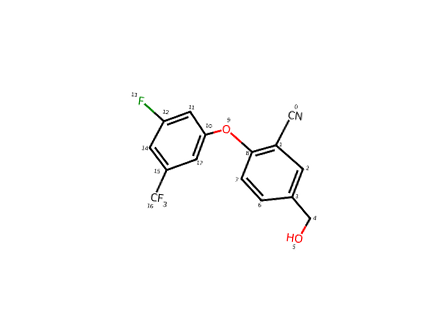 N#Cc1cc(CO)ccc1Oc1cc(F)cc(C(F)(F)F)c1